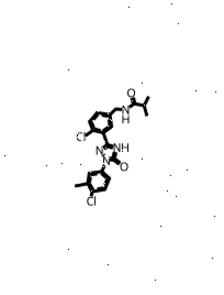 Cc1cc(-n2nc(-c3cc(CNC(=O)C(C)C)ccc3Cl)[nH]c2=O)ccc1Cl